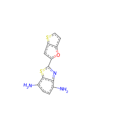 Nc1ccc(N)c2sc(-c3cc4sccc4o3)nc12